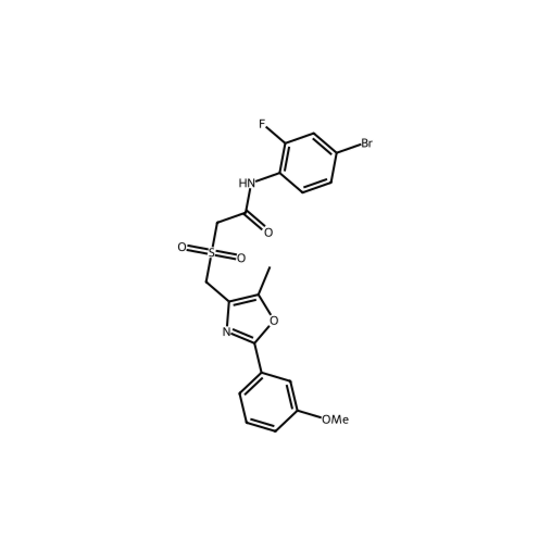 COc1cccc(-c2nc(CS(=O)(=O)CC(=O)Nc3ccc(Br)cc3F)c(C)o2)c1